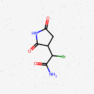 NC(=O)C(Br)C1CC(=O)NC1=O